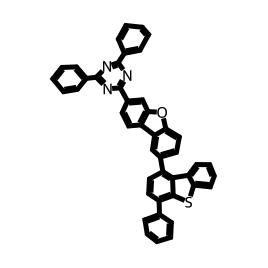 c1ccc(-c2nc(-c3ccccc3)nc(-c3ccc4c(c3)oc3ccc(-c5ccc(-c6ccccc6)c6sc7ccccc7c56)cc34)n2)cc1